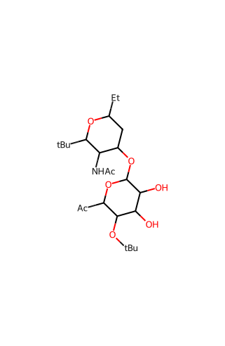 CCC1CC(OC2OC(C(C)=O)C(OC(C)(C)C)C(O)C2O)C(NC(C)=O)C(C(C)(C)C)O1